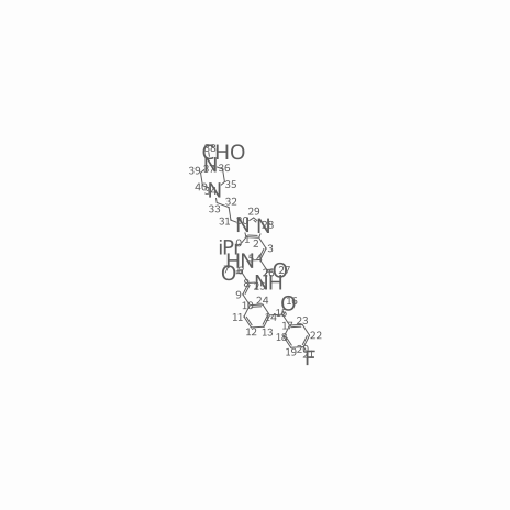 CC(C)c1c(/C=c2\[nH]c(=O)/c(=C/c3cccc(C(=O)c4ccc(F)cc4)c3)[nH]c2=O)ncn1CCCN1CCN(C=O)CC1